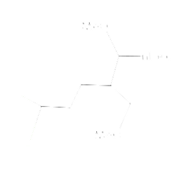 CCCCCCC(OC)C(CCC(F)F)COC